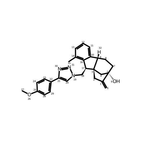 C=C1C[C@]23C[C@@]1(O)CC[C@H]2c1cccc(C)c1[C@@H]3Cn1cc(-c2ccc(OC)cc2)nn1